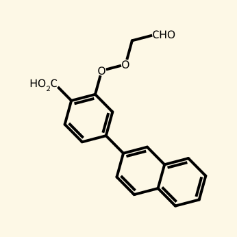 O=CCOOc1cc(-c2ccc3ccccc3c2)ccc1C(=O)O